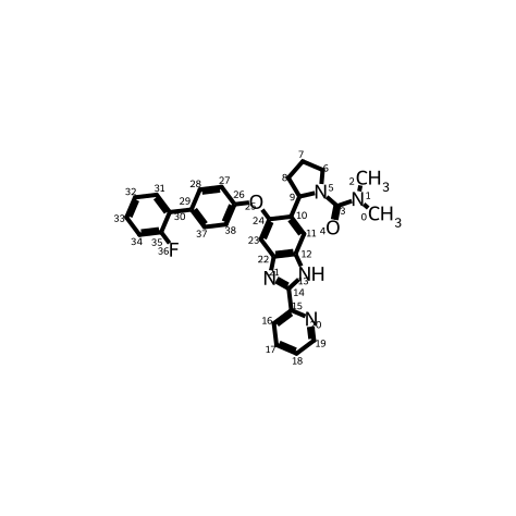 CN(C)C(=O)N1CCCC1c1cc2[nH]c(-c3ccccn3)nc2cc1Oc1ccc(-c2ccccc2F)cc1